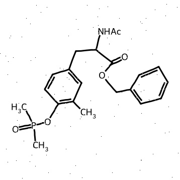 CC(=O)NC(Cc1ccc(OP(C)(C)=O)c(C)c1)C(=O)OCc1ccccc1